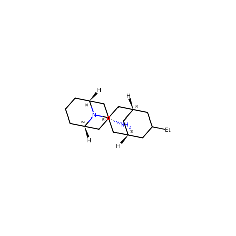 CCC1C[C@@H]2CC(N3[C@@H]4CCC[C@H]3C[C@@H](N)C4)C[C@H](C1)C2